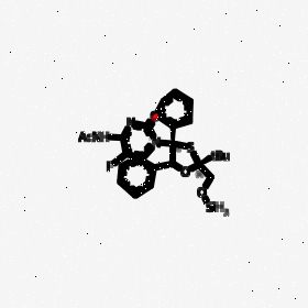 CC(=O)Nc1nc(=O)n([C@]2(c3ccccc3)S[C@@](CO[SiH3])(C(C)(C)C)OC2c2ccccc2)cc1F